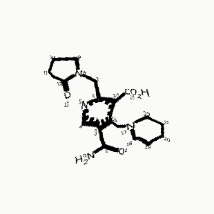 NC(=O)c1cnc(CN2CCCC2=O)c(C(=O)O)c1N1CCCCC1